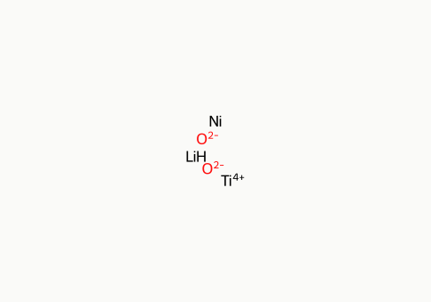 [LiH].[Ni].[O-2].[O-2].[Ti+4]